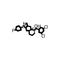 C[C@]12Cc3cnn(-c4ccc(F)cc4)c3C=C1CCC[C@@H]2[C@@H](O)c1cc(Cl)cc(Cl)c1